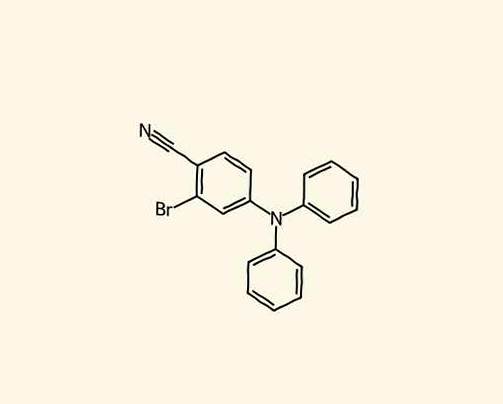 N#Cc1ccc(N(c2ccccc2)c2ccccc2)cc1Br